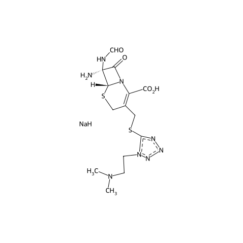 CN(C)CCn1nnnc1SCC1=C(C(=O)O)N2C(=O)[C@](N)(NC=O)[C@H]2SC1.[NaH]